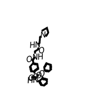 O=C(CNC(=O)c1ccc(S(=O)(=O)Nc2ccccc2Oc2ccccc2)cc1)NCCN1CCCC1